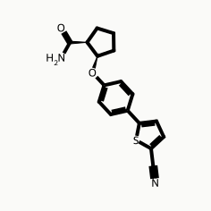 N#Cc1ccc(-c2ccc(O[C@@H]3CCC[C@@H]3C(N)=O)cc2)s1